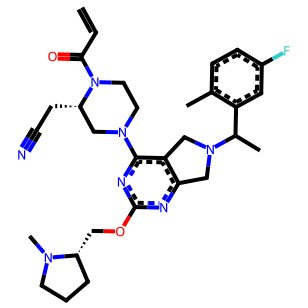 C=CC(=O)N1CCN(c2nc(OC[C@@H]3CCCN3C)nc3c2CN(C(C)c2cc(F)ccc2C)C3)C[C@@H]1CC#N